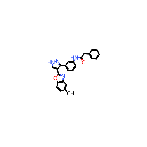 Cc1ccc2oc(-c3c[nH]nc3-c3cccc(NC(=O)Cc4ccccc4)c3)nc2c1